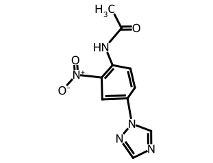 CC(=O)Nc1ccc(-n2cncn2)cc1[N+](=O)[O-]